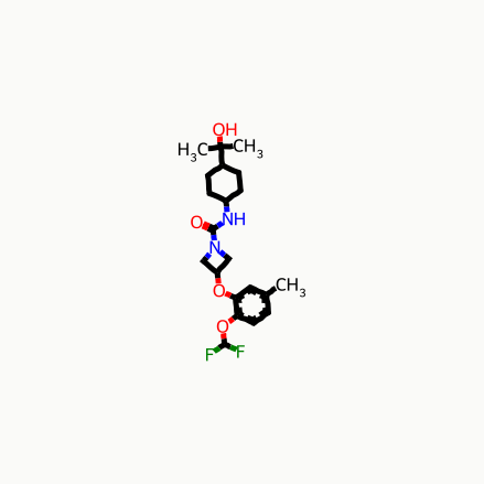 Cc1ccc(OC(F)F)c(OC2CN(C(=O)NC3CCC(C(C)(C)O)CC3)C2)c1